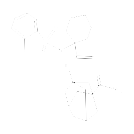 NC(=O)C12CC3CC(CC(NC(=O)C4(NS(=O)(=O)c5ccccc5F)CCCCC4)(C3)C1)C2